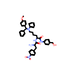 COc1ccc(C(c2ccccc2)N(CCCCC(NC(=O)C(N)Cc2ccc([N+](=O)[O-])cc2)C(=O)Nc2ccc(CO)cc2)c2ccccc2)cc1